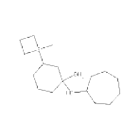 BC1(BC2CCCCCC2)CCCC(S2(C)CCC2)C1